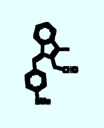 CSc1ccc(C=C2C(CC=O)=C(C)c3ccccc32)cc1